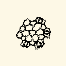 c1ccc(-c2c(-n3c4ccccc4c4ncccc43)c(-n3c4ccccc4c4ncccc43)c(-n3c4ccccc4c4ncccc43)c(-n3c4ccccc4c4ncccc43)c2-n2c3ccccc3c3ncccc32)cc1